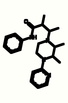 CC(C(=O)Nc1ccccc1)C(C)N1CCN(c2ccccn2)C(C)C1C